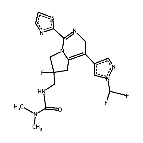 CN(C)C(=O)NCC1(F)CC2=C(c3cnn(C(F)F)c3)CN=C(c3nccs3)N2C1